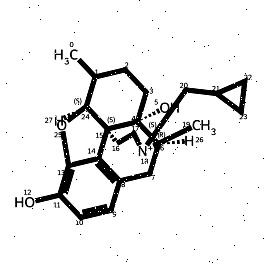 CC1CC[C@@]2(O)[C@H]3Cc4ccc(O)c5c4[C@@]2(CC[N+]3(C)CC2CC2)[C@H]1O5